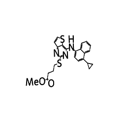 COC(=O)CCCSc1nc(Nc2ccc(C3CC3)c3ccccc23)c2sccc2n1